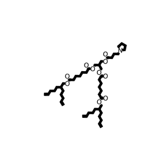 C=CCCCC(CCCC=C)COC(=O)CCCCCC(=O)OCC(COC(=O)CCCCCC(=O)OCC(CCCC=C)CCCC=C)COC(=O)CCCN1CCCC1